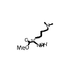 COC(=O)[C@H](CCCCN(C)C)NO